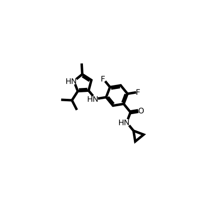 Cc1cc(Nc2cc(C(=O)NC3CC3)c(F)cc2F)c(C(C)C)[nH]1